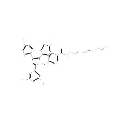 COc1cc(OC)cc(-c2nc(-c3ccc(OC)cc3F)c(-c3ccc(OC)cc3F)n2Cc2ccc(C(=O)NCCOCCOCCN)cc2)c1